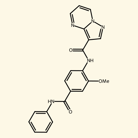 COc1cc(C(=O)Nc2ccccc2)ccc1NC(=O)c1cnn2cccnc12